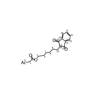 CC(=O)CC(=O)OCCCCCCN1C(=O)c2ccccc2C1=O